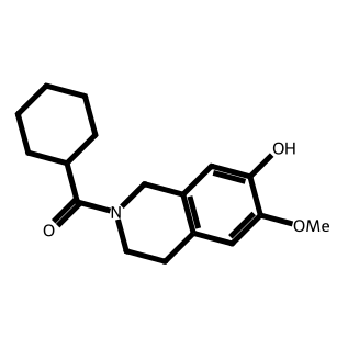 COc1cc2c(cc1O)CN(C(=O)C1CCCCC1)CC2